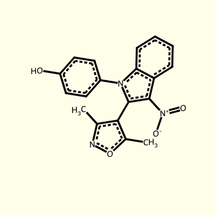 Cc1noc(C)c1-c1c([N+](=O)[O-])c2ccccc2n1-c1ccc(O)cc1